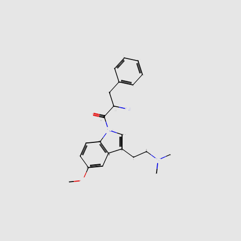 COc1ccc2c(c1)c(CCN(C)C)cn2C(=O)C(N)Cc1ccccc1